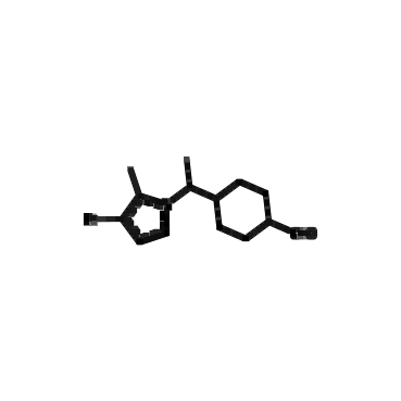 CCc1ccn(C(C)C2CCC(C=O)CC2)c1C